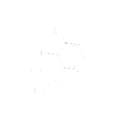 CCc1cccc([Si](C)(C)C)c1F